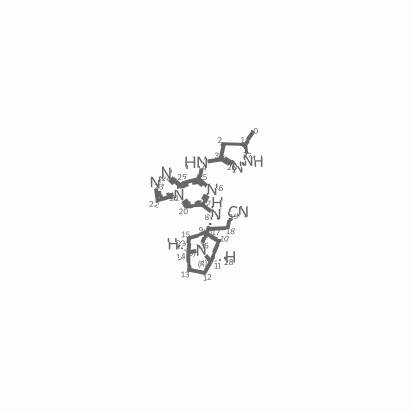 CC1CC(Nc2nc(N[C@@H]3C[C@H]4CC[C@@H](C3)N4CCC#N)cn3cnnc23)=NN1